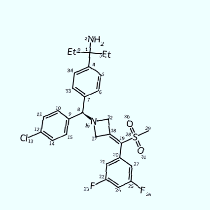 CCC(N)(CC)c1ccc([C@H](c2ccc(Cl)cc2)N2CC(=C(c3cc(F)cc(F)c3)S(C)(=O)=O)C2)cc1